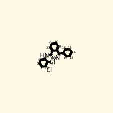 Clc1cccc(Nc2nnc(-c3ccccc3)c3ccccc23)c1Cl